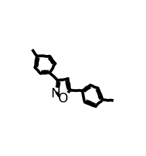 Cc1ccc(-c2cc(-c3ccc(C)cc3)on2)cc1